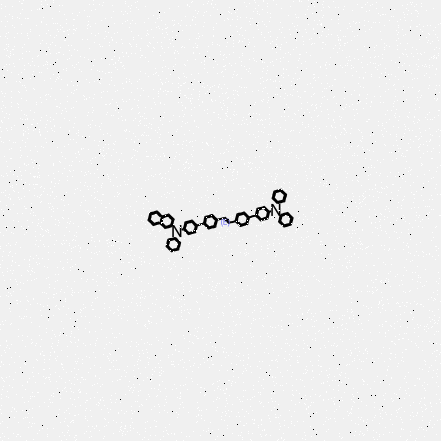 C(=C\c1ccc(-c2ccc(N(c3ccccc3)c3ccc4ccccc4c3)cc2)cc1)/c1ccc(-c2ccc(N(c3ccccc3)c3ccccc3)cc2)cc1